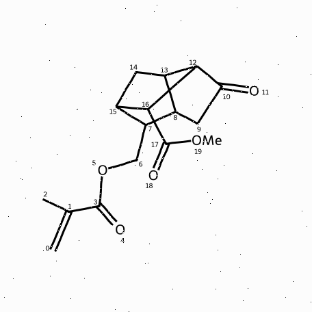 C=C(C)C(=O)OCC1C2CC(=O)C3C2CC1C3C(=O)OC